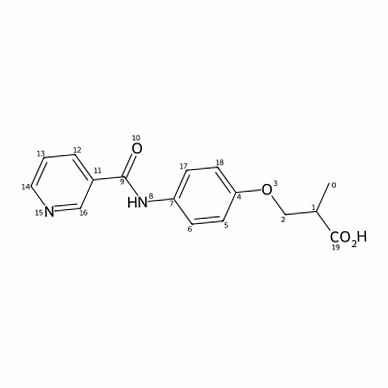 CC(COc1ccc(NC(=O)c2cccnc2)cc1)C(=O)O